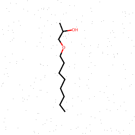 CCCCCCCCO[CH]C(C)O